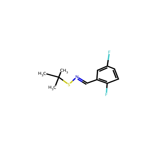 CC(C)(C)SN=Cc1cc(F)ccc1F